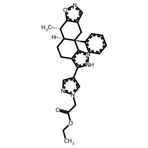 CCOC(=O)Cn1cc(-c2[nH]nc3c2CC[C@H]2[C@H](C)c4oncc4C[C@]32c2ccccc2)cn1